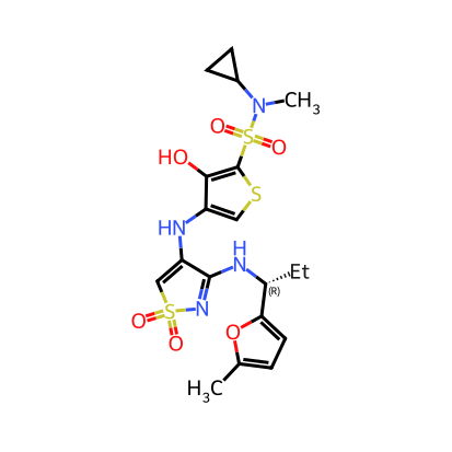 CC[C@@H](NC1=NS(=O)(=O)C=C1Nc1csc(S(=O)(=O)N(C)C2CC2)c1O)c1ccc(C)o1